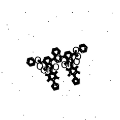 Cc1c(C)c(N2C(=O)c3c(C(=O)Oc4ccccc4)ccc(-c4ccc(-c5ccc(C(=O)Oc6ccccc6)c6c5C(=O)N(c5c(C)c(C)c(C7=CC=CC7)c(C)c5C)C6=O)c5ccccc45)c3C2=O)c(C)c(C)c1C1=CC=CC1